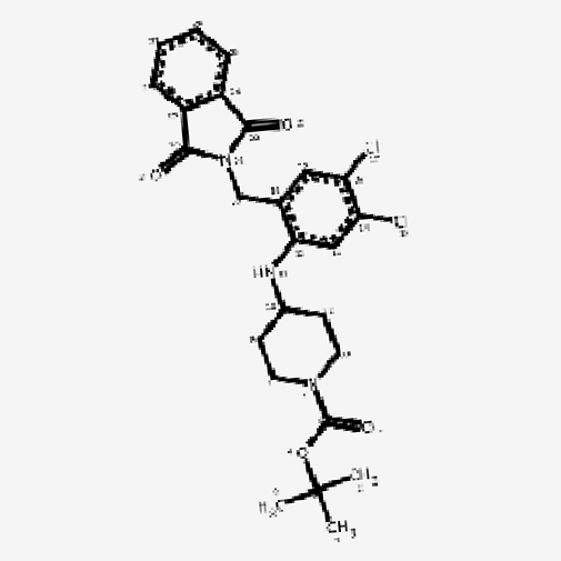 CC(C)(C)OC(=O)N1CCC(Nc2cc(Cl)c(Cl)cc2CN2C(=O)c3ccccc3C2=O)CC1